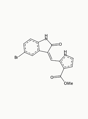 COC(=O)c1cc[nH]c1/C=C1\C(=O)Nc2ccc(Br)cc21